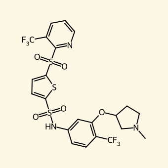 CN1CCC(Oc2cc(NS(=O)(=O)c3ccc(S(=O)(=O)c4ncccc4C(F)(F)F)s3)ccc2C(F)(F)F)C1